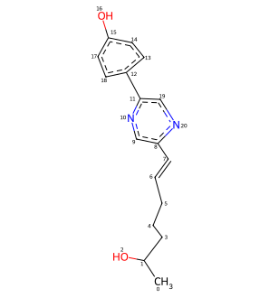 CC(O)CCC/C=C/c1cnc(-c2ccc(O)cc2)cn1